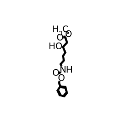 COC(=O)CC(O)CCCCNC(=O)OCc1ccccc1